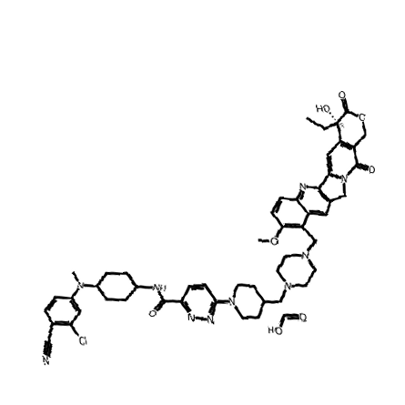 CC[C@@]1(O)C(=O)OCc2c1cc1n(c2=O)Cc2cc3c(CN4CCN(CC5CCN(c6ccc(C(=O)NC7CCC(N(C)c8ccc(C#N)c(Cl)c8)CC7)nn6)CC5)CC4)c(OC)ccc3nc2-1.O=CO